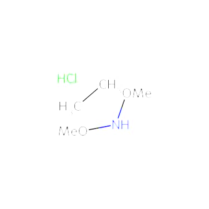 CC.CONOC.Cl